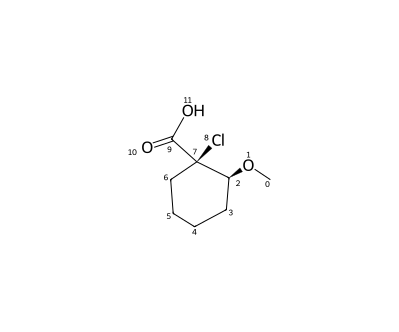 CO[C@H]1CCCC[C@]1(Cl)C(=O)O